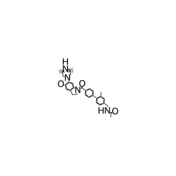 COc1cc2c(cc1N1C[C@@H](C)N[C@@H](C)C1)N(C(=O)c1ccc(-c3ccc(CNC(C)=O)cc3C)cc1)CC2